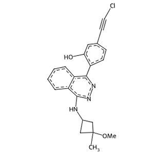 COC1(C)CC(Nc2nnc(-c3ccc(C#CCl)cc3O)c3ccccc23)C1